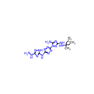 CCC(C)(CC)NNc1nc(N)n(-c2nnc(Nc3nc(NN)n[nH]3)nn2)n1